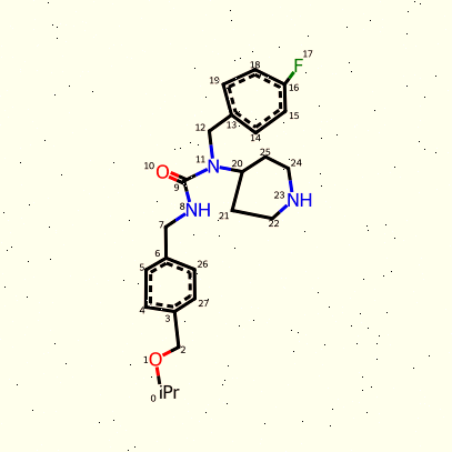 CC(C)OCc1ccc(CNC(=O)N(Cc2ccc(F)cc2)C2CCNCC2)cc1